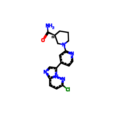 NC(=O)[C@H]1CCCN(c2cc(-c3cnc4ccc(Cl)nn34)ccn2)C1